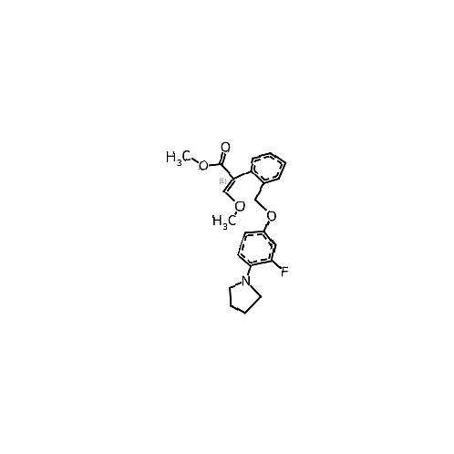 CO/C=C(/C(=O)OC)c1ccccc1COc1ccc(N2CCCC2)c(F)c1